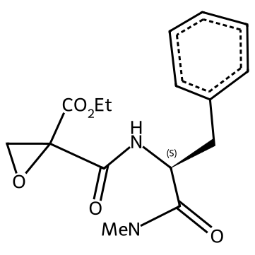 CCOC(=O)C1(C(=O)N[C@@H](Cc2ccccc2)C(=O)NC)CO1